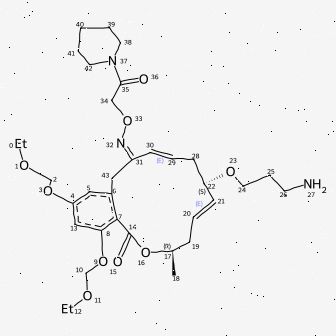 CCOCOc1cc2c(c(OCOCC)c1)C(=O)O[C@H](C)C/C=C/[C@@H](OCCCN)C/C=C/C(=NOCC(=O)N1CCCCC1)C2